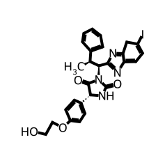 C[C@@H](c1ccccc1)[C@@H](C1=NC2=CC=C(I)CC2=N1)N1C(=O)N[C@H](c2ccc(OCCO)cc2)C1=O